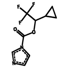 O=C(OC(C1CC1)C(F)(F)F)n1ccnc1